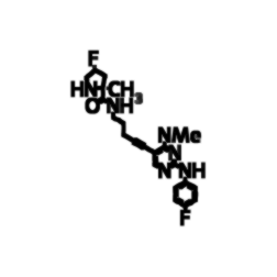 CNc1nc(Nc2ccc(F)cc2)ncc1C#CCCCNC(=O)[C@]1(C)C[C@H](F)CN1